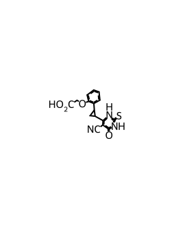 N#Cc1c(C2CC2c2ccccc2OCC(=O)O)[nH]c(=S)[nH]c1=O